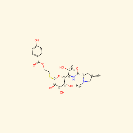 CCC[C@@H]1C[C@@H](C(=O)N[C@@H]([C@H]2O[C@H](SCCOC(=O)c3ccc(O)cc3)[C@H](O)[C@@H](O)[C@H]2O)[C@@H](C)O)N(C)C1